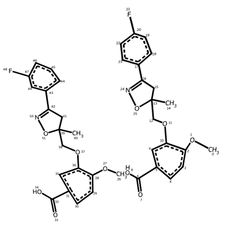 COc1ccc(C(=O)O)cc1OCC1(C)CC(c2ccc(F)cc2)=NO1.COc1ccc(C(=O)O)cc1OCC1(C)CC(c2cccc(F)c2)=NO1